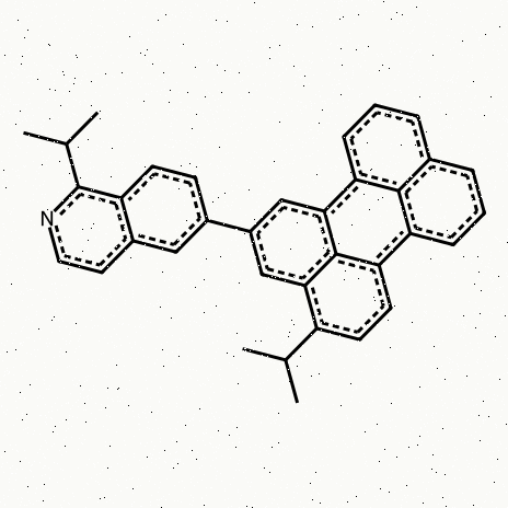 CC(C)c1nccc2cc(-c3cc4c(C(C)C)ccc5c6cccc7cccc(c(c3)c45)c76)ccc12